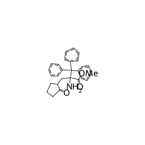 COC(=O)C(N)(CC1CCCC1=O)C(c1ccccc1)(c1ccccc1)c1ccccc1